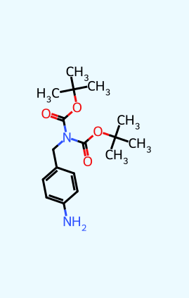 CC(C)(C)OC(=O)N(Cc1ccc(N)cc1)C(=O)OC(C)(C)C